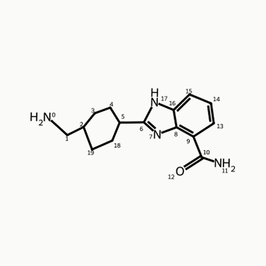 NCC1CCC(c2nc3c(C(N)=O)cccc3[nH]2)CC1